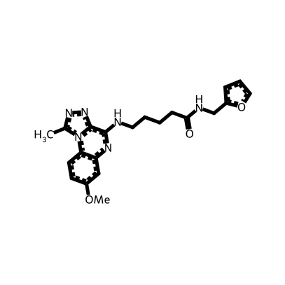 COc1ccc2c(c1)nc(NCCCCC(=O)NCc1ccco1)c1nnc(C)n12